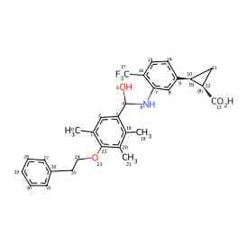 Cc1cc(C(O)Nc2cc([C@H]3C[C@H]3C(=O)O)ccc2C(F)(F)F)c(C)c(C)c1OCCc1ccccc1